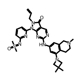 C=CCn1c(=O)c2cnc(Nc3cc4c(c(N5CC(C)(C)C5)c3)CCN(C)C4)nc2n1-c1cccc(N=S(C)(C)=O)n1